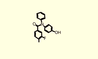 Cc1ccc(C(=O)N(c2ccccc2)c2ccc(O)cc2)cc1F